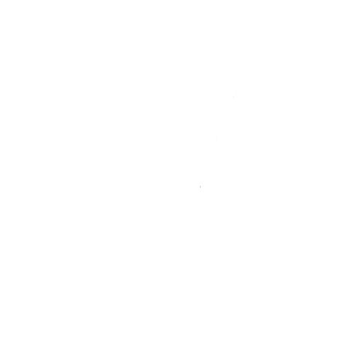 Cc1ccc(SOC(C)O[C]=O)cc1